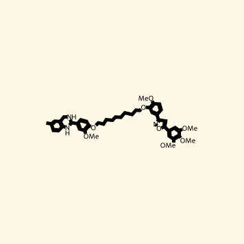 COc1cc(C2NCc3cc(C)ccc3N2)ccc1OCCCCCCCCCCOc1cc(-c2cc(-c3cc(OC)c(OC)c(OC)c3)on2)ccc1OC